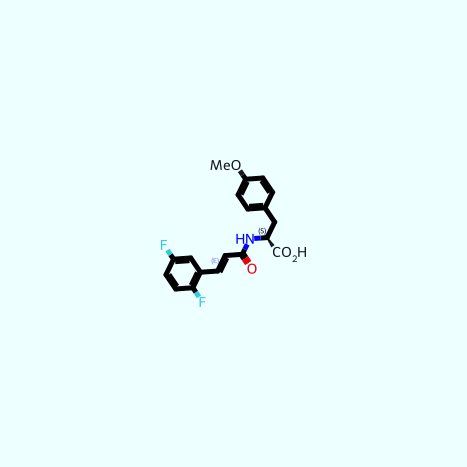 COc1ccc(C[C@H](NC(=O)/C=C/c2cc(F)ccc2F)C(=O)O)cc1